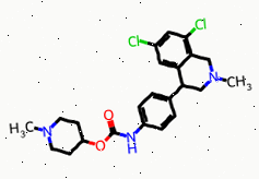 CN1CCC(OC(=O)Nc2ccc(C3CN(C)Cc4c(Cl)cc(Cl)cc43)cc2)CC1